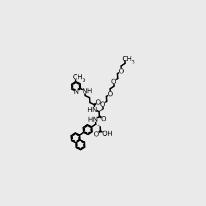 CCCOCCOCCOCCOC[C@H](NC(=O)CCCNc1cc(C)ccn1)C(=O)N[C@H](CC(=O)O)c1ccc(-c2cccc3ccccc23)cc1